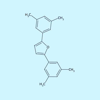 Cc1cc(C)cc(-c2ccc(-c3cc(C)cc(C)c3)o2)c1